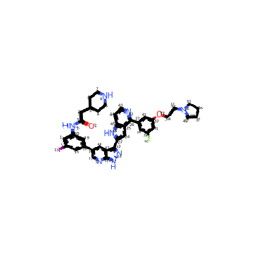 O=C(CC1CCNCC1)Nc1cc(I)cc(-c2cnc3[nH]nc(-c4cc5c(-c6cc(F)cc(OCCN7CCCC7)c6)nccc5[nH]4)c3c2)c1